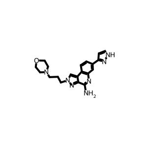 Nc1nc2cc(-c3cc[nH]n3)ccc2c2cn(CCCN3CCOCC3)nc12